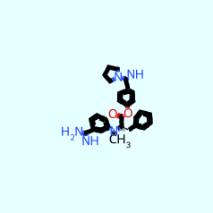 CN(c1cccc(C(=N)N)c1)[C@@H](Cc1ccccc1)C(=O)Oc1ccc(C(=N)N2CCCC2)cc1